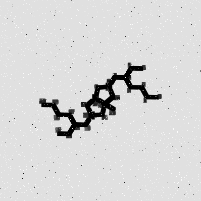 CCCCC(CC)CN1CN2CN(CC(CC)CCCC)CC2(C)C1